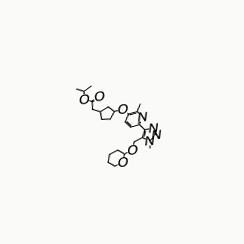 Cc1nc(-c2nnn(C)c2COC2CCCCO2)ccc1OC1CCC(CC(=O)OC(C)C)C1